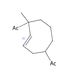 CC(=O)C1C/C=C/C(C)(C(C)=O)CCC1